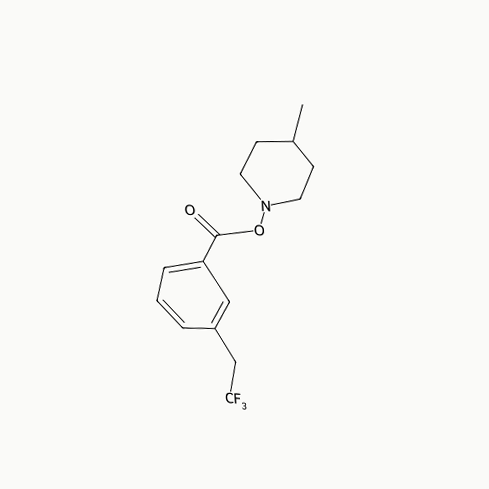 CC1CCN(OC(=O)c2cccc(CC(F)(F)F)c2)CC1